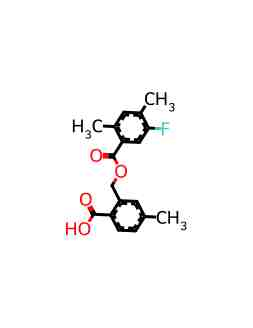 Cc1ccc(C(=O)O)c(COC(=O)c2cc(F)c(C)cc2C)c1